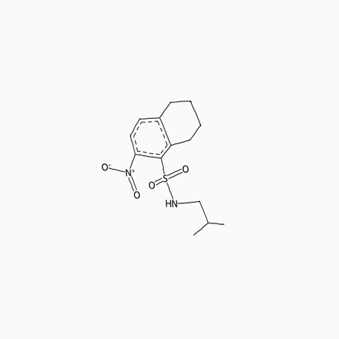 CC(C)CNS(=O)(=O)c1c([N+](=O)[O-])ccc2c1CCCC2